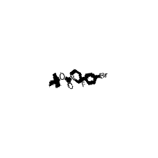 CC(C)(C)OC(=O)N1CCCC(F)(c2ccc(Br)cc2)C1